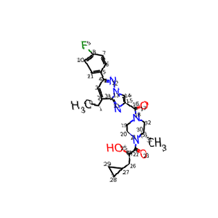 CCc1cc(-c2ccc(F)cc2)nn2cc(C(=O)N3CCN(C(=O)[C@H](O)CC4CC4)[C@@H](C)C3)nc12